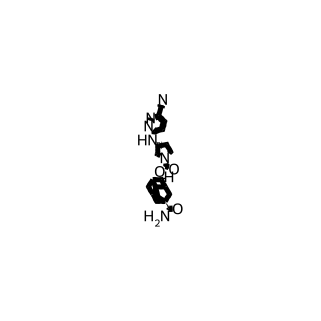 N#Cc1ccc(N[C@@H]2CCN(C(=O)O[C@H]3C4CC5CC3C[C@](C(N)=O)(C5)C4)C2)nn1